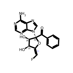 Nc1ncnc2c1ncn2[C@]1(C(=O)c2ccccc2)O/C(=C/F)[C@@H](O)[C@H]1O